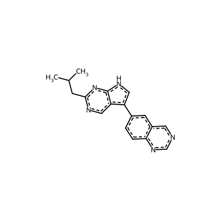 CC(C)Cc1ncc2c(-c3ccc4ncncc4c3)c[nH]c2n1